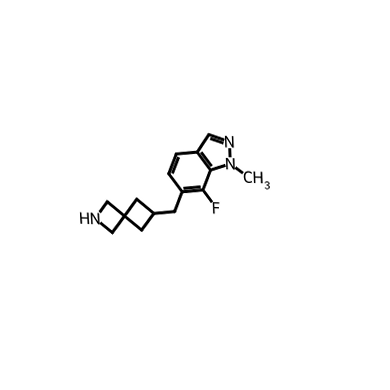 Cn1ncc2ccc(CC3CC4(CNC4)C3)c(F)c21